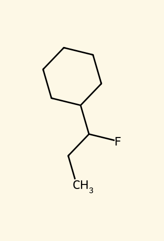 CCC(F)C1CCCCC1